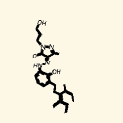 C/C=C(C)\C(CCc1cccc(N/N=C2\C(=O)N(CCCO)N=C2C)c1O)=C(\C)CC